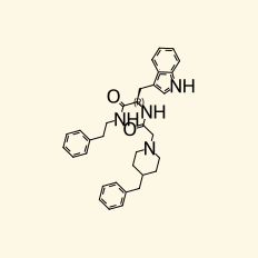 O=C(CN1CCC(Cc2ccccc2)CC1)N[C@H](Cc1c[nH]c2ccccc12)C(=O)NCCc1ccccc1